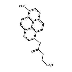 O=Cc1ccc2ccc3c(OC(=O)CCS(=O)(=O)O)ccc4ccc1c2c43